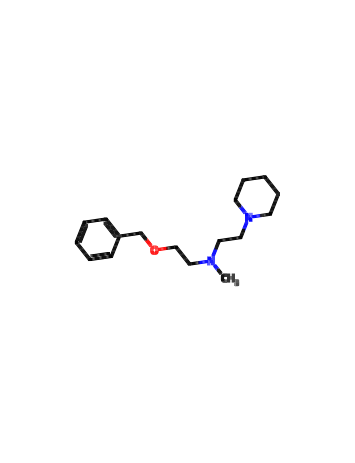 CN(CCOCc1ccccc1)CCN1CCCCC1